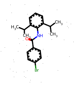 CC(C)c1cccc(C(C)C)c1NC(=O)c1ccc(Br)cc1